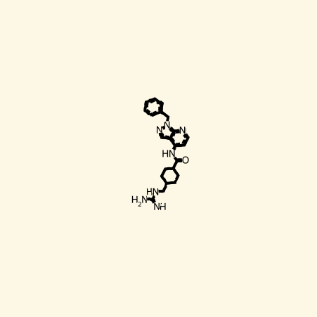 N=C(N)NCC1CCC(C(=O)Nc2ccnc3c2cnn3Cc2ccccc2)CC1